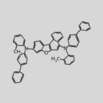 Cc1ccccc1N(c1ccc(-c2ccccc2)cc1)c1ccc2c(c1)oc1cc(N(c3ccc(-c4ccccc4)cc3)c3ccccc3C)c3ccccc3c12